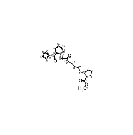 COC(=O)C1CCCN1CCCCCC(=O)Nc1ncccc1C(=O)c1cccs1